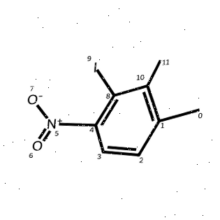 Cc1ccc([N+](=O)[O-])c(I)c1C